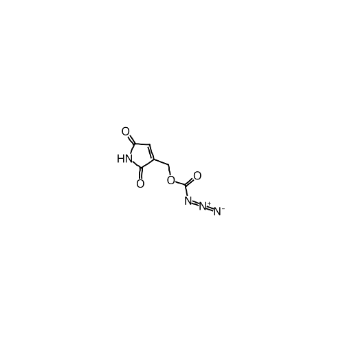 [N-]=[N+]=NC(=O)OCC1=CC(=O)NC1=O